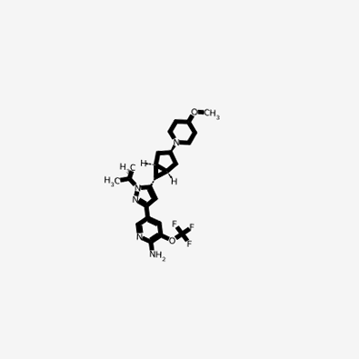 COC1CCN([C@H]2C[C@@H]3[C@H](C2)[C@H]3c2cc(-c3cnc(N)c(OC(F)(F)F)c3)nn2C(C)C)CC1